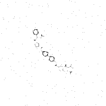 CC[C@@H](CN(CC)C(=O)[C@@H](NC(=O)OC)C(C)C)C(=O)Nc1ccc(-c2ccc(NC(=O)[C@@H]3CCN(C(=O)[C@H](NC(=O)OC)c4ccccc4)C3)cc2)cc1